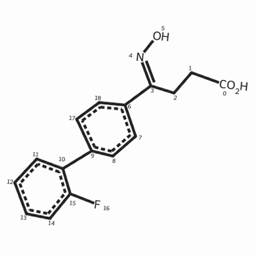 O=C(O)CCC(=NO)c1ccc(-c2ccccc2F)cc1